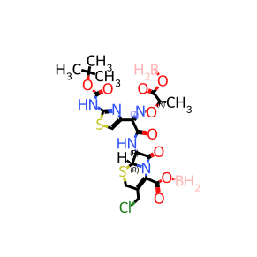 BOC(=O)C1=C(CCl)CS[C@@H]2[C@H](NC(=O)/C(=N\O[C@H](C)C(=O)OB)c3csc(NC(=O)OC(C)(C)C)n3)C(=O)N12